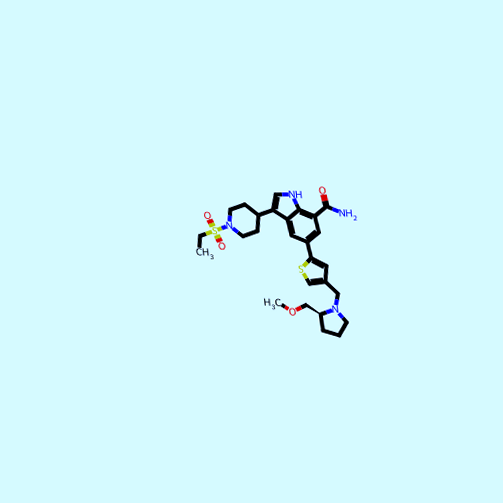 CCS(=O)(=O)N1CCC(c2c[nH]c3c(C(N)=O)cc(-c4cc(CN5CCC[C@H]5COC)cs4)cc23)CC1